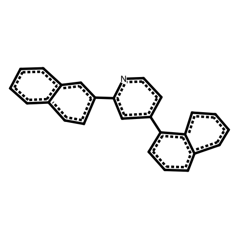 c1ccc2cc(-c3cc(-c4cccc5ccccc45)ccn3)ccc2c1